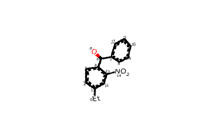 CCc1ccc(C(=O)c2ccccc2)c([N+](=O)[O-])c1